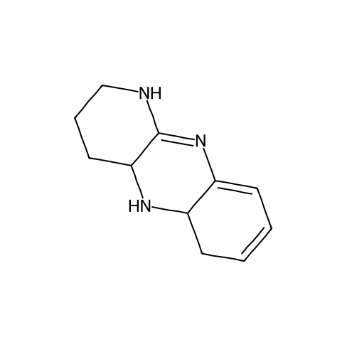 C1=CCC2NC3CCCNC3=NC2=C1